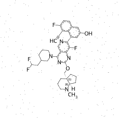 C#Cc1c(F)ccc2cc(O)cc(-c3ncc4c(N5CCCC(CC(F)F)C5)nc(OC[C@]56CCC[C@H]5N(C)CCC6)nc4c3F)c12